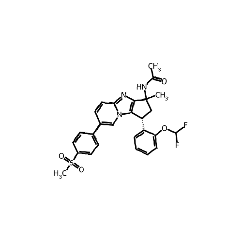 CC(=O)NC1(C)C[C@H](c2ccccc2OC(F)F)c2c1nc1ccc(-c3ccc(S(C)(=O)=O)cc3)cn21